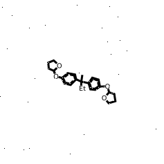 CCC(C)(c1ccc(OC2CCCO2)cc1)c1ccc(OC2CCCO2)cc1